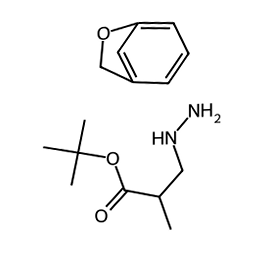 CC(CNN)C(=O)OC(C)(C)C.c1cc2cc(c1)OC2